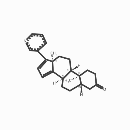 C[C@]12CC[C@H]3[C@@H](CC[C@H]4CC(=O)CC[C@@]43C)C1=CC=C2c1cccnc1